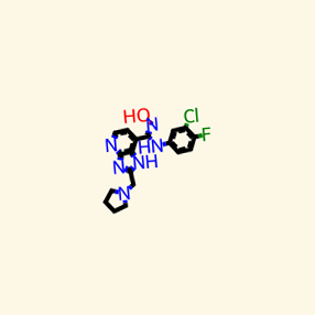 O/N=C(/Nc1ccc(F)c(Cl)c1)c1ccnc2nc(CN3CCCC3)[nH]c12